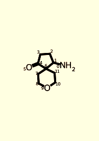 NC1CCC(=O)C12CCOCC2